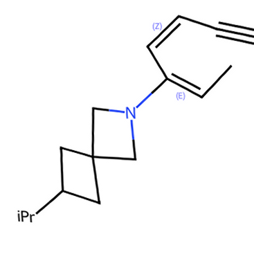 C#C/C=C\C(=C/C)N1CC2(CC(C(C)C)C2)C1